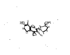 Cc1c(N2CCCC(O)C2)oc2c(C)c(O)ccc2c1=O